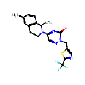 Cc1ccc2c(c1)CCN(c1cnn(Cc3cnc(C(F)(F)F)s3)c(=O)n1)C2C